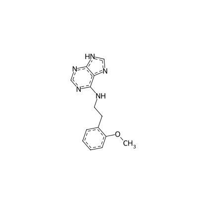 COc1ccccc1CCNc1ncnc2[nH]cnc12